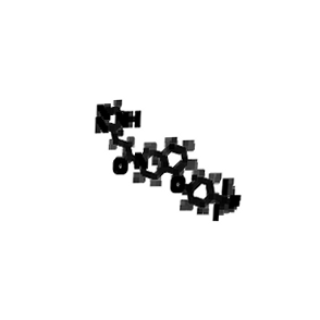 O=C(CCc1nnc[nH]1)N1CCc2c(cccc2Oc2ccc(C(F)(F)F)cc2)C1